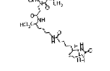 C/C=C\C(=O)N(C=O)CCC(=O)NC(CCCCNC(=O)CCCCC1SC[C@@H]2NC(=O)N[C@H]12)C(=O)O